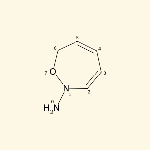 NN1C=CC=CCO1